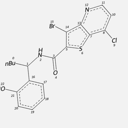 CCCCC(NC(=O)c1sc2c(Cl)ccnc2c1Br)c1ccccc1O